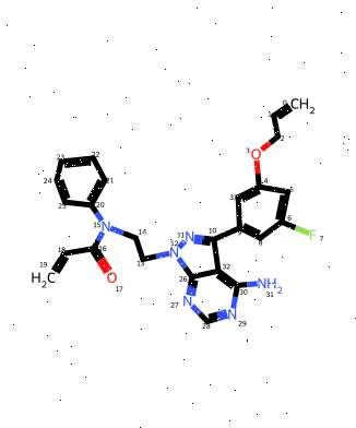 C=CCOc1cc(F)cc(-c2nn(CCN(C(=O)C=C)c3ccccc3)c3ncnc(N)c23)c1